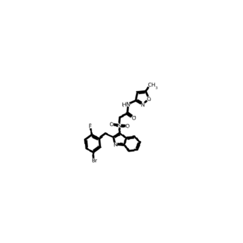 Cc1cc(NC(=O)CS(=O)(=O)C2=C(Cc3cc(Br)ccc3F)N=C3CC=CC=C32)no1